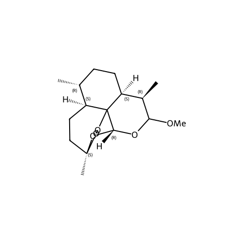 COC1O[C@@H]2O[C@]3(C)CC[C@H]4[C@H](C)CC[C@@H]([C@H]1C)C24OO3